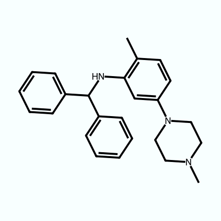 Cc1ccc(N2CCN(C)CC2)cc1NC(c1ccccc1)c1ccccc1